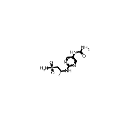 C[C@H](CS(N)(=O)=O)Nc1ncc(NC(N)=O)cn1